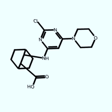 O=C(O)C1C2CCC(CC2)C1Nc1cc(N2CCOCC2)nc(Cl)n1